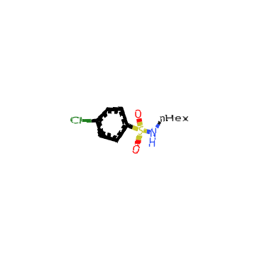 CCCCCCNS(=O)(=O)c1ccc(Cl)cc1